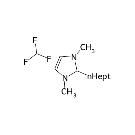 CCCCCCCC1N(C)C=CN1C.FC(F)F